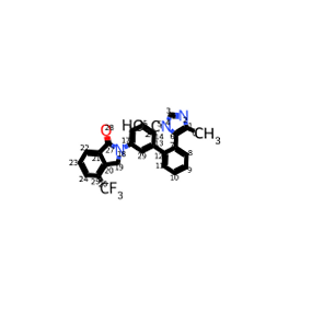 Cc1ncn(C(=O)O)c1-c1ccccc1-c1cccc(N2Cc3c(cccc3C(F)(F)F)C2=O)c1